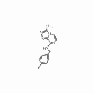 Cc1nnc2c(NCc3ccc(F)cc3)nccn12